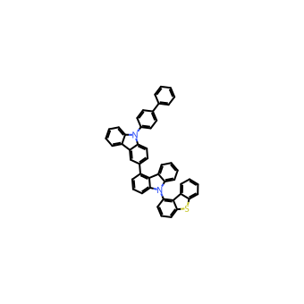 c1ccc(-c2ccc(-n3c4ccccc4c4cc(-c5cccc6c5c5ccccc5n6-c5cccc6sc7ccccc7c56)ccc43)cc2)cc1